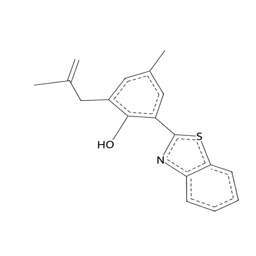 C=C(C)Cc1cc(C)cc(-c2nc3ccccc3s2)c1O